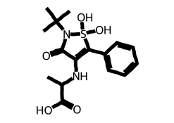 CC(NC1=C(c2ccccc2)S(O)(O)N(C(C)(C)C)C1=O)C(=O)O